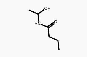 [CH2]C(O)NC(=O)CCC